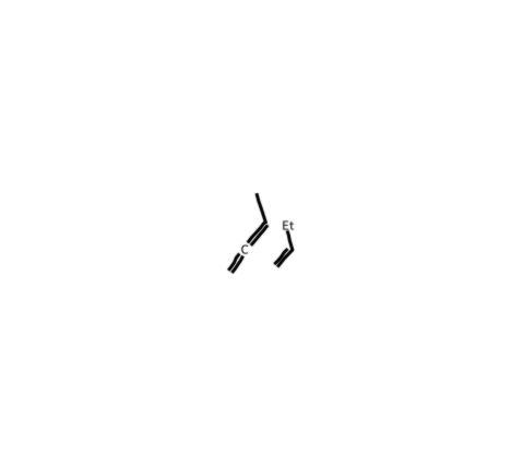 C=C=CC.C=CCC